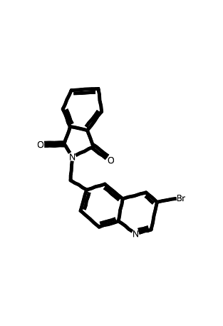 O=C1c2ccccc2C(=O)N1Cc1ccc2ncc(Br)cc2c1